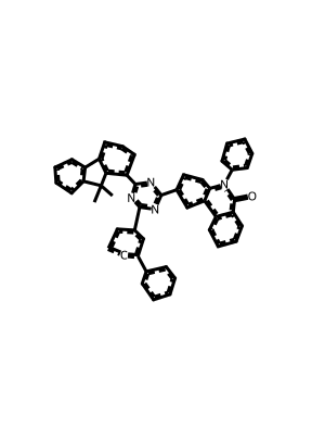 CC1(C)c2ccccc2-c2cccc(-c3nc(-c4cccc(-c5ccccc5)c4)nc(-c4ccc5c(c4)c4ccccc4c(=O)n5-c4ccccc4)n3)c21